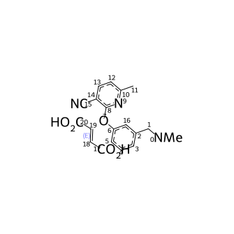 CNCc1cccc(Oc2nc(C)ccc2C#N)c1.O=C(O)/C=C/C(=O)O